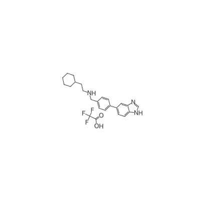 O=C(O)C(F)(F)F.c1nc2cc(-c3ccc(CNCCC4CCCCC4)cc3)ccc2[nH]1